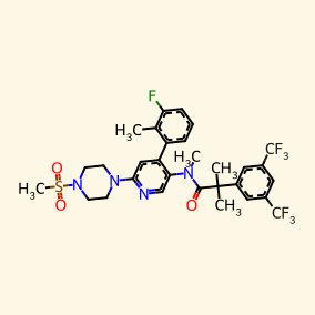 Cc1c(F)cccc1-c1cc(N2CCN(S(C)(=O)=O)CC2)ncc1N(C)C(=O)C(C)(C)c1cc(C(F)(F)F)cc(C(F)(F)F)c1